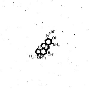 B[C@H]1C2=C[C@@]3(CO)CC[C@@]4(C)[C@@H](CC[C@]4(C)O)[C@@]34CC[C@]2(C[C@H](N=[N+]=[N-])[C@H]1O)O4